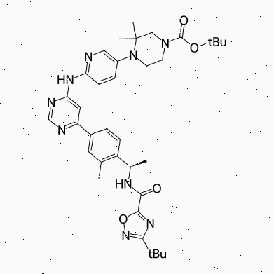 Cc1cc(-c2cc(Nc3ccc(N4CCN(C(=O)OC(C)(C)C)CC4(C)C)cn3)ncn2)ccc1[C@@H](C)NC(=O)c1nc(C(C)(C)C)no1